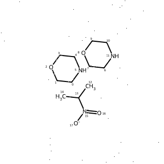 C1COCCN1.C1COCCN1.CC(C)[N+](=O)[O-]